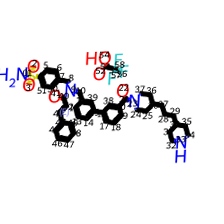 NS(=O)(=O)c1ccc(CN(Cc2cccc(-c3cccc(C(=O)N4CCC(CCCC5CCNCC5)CC4)c3)c2)C(=O)/C=C/c2ccccc2)cc1.O=C(O)C(F)(F)F